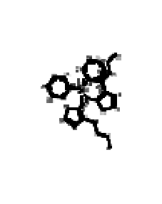 CCCCC1=[C]([Hf]([C]2=C(CCCC)C=CC2)[SiH](c2ccccc2)c2ccccc2)CC=C1